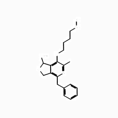 COC1OCc2c(Cc3ccccc3)nc(C)c(OCCCCNC(C)C)c21